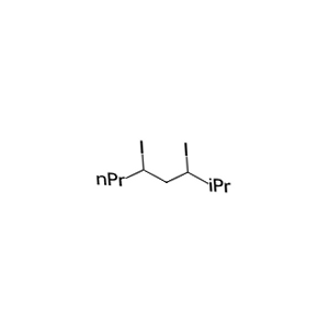 CCCC(I)CC(I)C(C)C